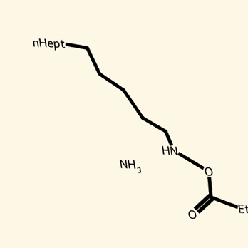 CCCCCCCCCCCCNOC(=O)CC.N